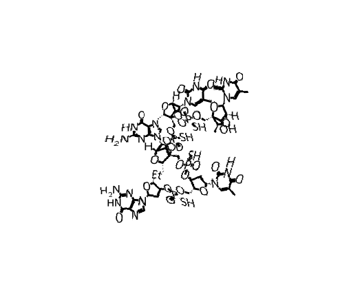 C=C1NC(=O)C(C)=CN1[C@@H]1O[C@@]2(COP(=O)(S)OC3[C@@H]4O[C@@H](C)[C@@]3(COP(=O)(S)OC3[C@@H]5O[C@@H](C)[C@@]3(COP(=O)(S)OC3C[C@H](n6cc(C)c(=O)[nH]c6=O)O[C@@H]3COP(=O)(S)OC3C[C@H](n6cnc7c(=O)[nH]c(N)nc76)O[C@@H]3CC)O[C@H]5n3cnc5c(=O)[nH]c(N)nc53)O[C@H]4n3cc(C)c(=O)[nH]c3=O)C(O)[C@@H]1O[C@H]2C